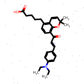 CCN(CC)c1ccc(/C=C/C(=O)c2ccc(CCCCC(=O)O)c3c2OC(C)(C)C=C3)cc1